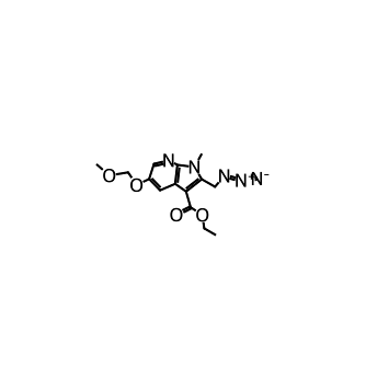 CCOC(=O)c1c(CN=[N+]=[N-])n(C)c2ncc(OCOC)cc12